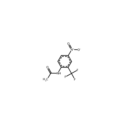 CC(=O)Nc1ccc([N+](=O)[O-])cc1C(F)(F)F